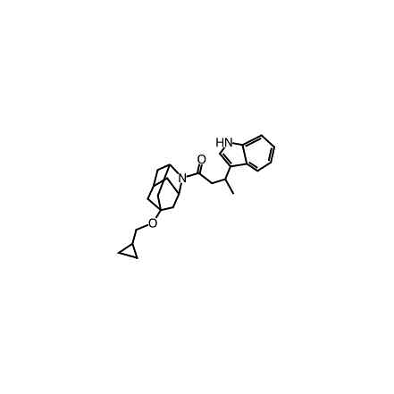 CC(CC(=O)N1C2CC3CC1CC(OCC1CC1)(C3)C2)c1c[nH]c2ccccc12